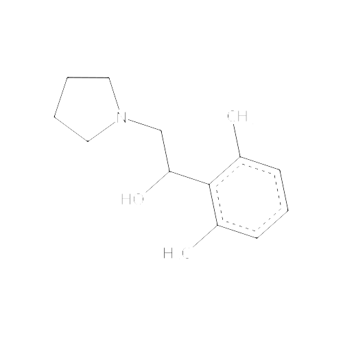 Cc1cccc(C)c1C(O)CN1CCCC1